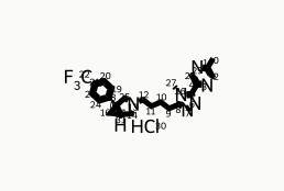 Cc1cnc(-c2nnc(CCCCN3C[C@@H]4C[C@]4(c4ccc(C(F)(F)F)cc4)C3)n2C)cn1.Cl